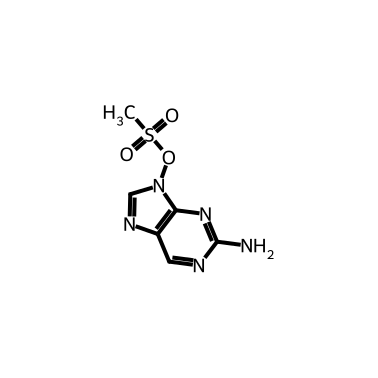 CS(=O)(=O)On1cnc2cnc(N)nc21